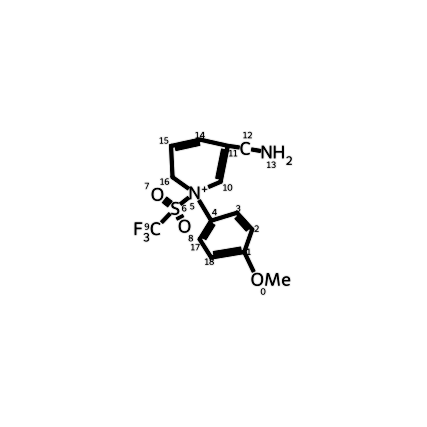 COc1ccc([N+]2(S(=O)(=O)C(F)(F)F)C=C(CN)C=CC2)cc1